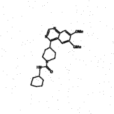 COc1cc2ncnc(C3CCN(C(=O)NC4CCCCC4)CC3)c2cc1OC